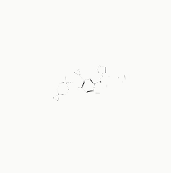 CC1(COc2cc(F)c(C(=O)N3CCC[C@H]3C(=O)O)cc2C2CC2)CCC2(CC1)CC2